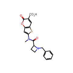 CN(C(=O)C1CCN1Cc1ccccc1)c1cc2oc(=O)c(C(=O)O)cc2s1